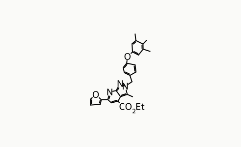 CCOC(=O)c1cc(-c2ccco2)nc2nn(Cc3ccc(Oc4cc(C)c(C)c(C)c4)cc3)c(C)c12